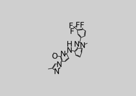 COc1nc(Nc2cccc3c2nc(-c2ccc(F)c(C(F)(F)F)c2)n3C)ccc1-n1cnc(C)c1